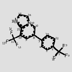 FC(F)(F)c1ccc(-c2cc(C(F)(F)F)c3nccn3c2)cc1